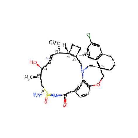 CO[C@H]1/C=C/[C@H](O)[C@H](C)C[S@](N)(=O)=NC(=O)c2ccc3c(c2)N(C[C@@H]2CC[C@H]21)C[C@@]1(CCCc2cc(Cl)ccc21)CO3